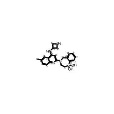 Cc1ccc2nc(N3CCS(O)(O)c4ccccc4C3)cc(NC3CNC3)c2c1